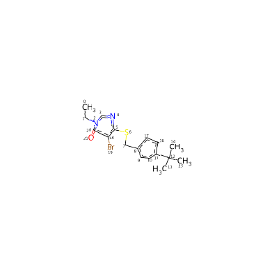 CCn1cnc(SCc2ccc(C(C)(C)C)cc2)c(Br)c1=O